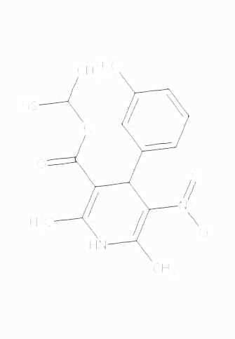 CC1=C(C(=O)OC(C)S)C(c2cccc(C)c2)C([N+](=O)[O-])=C(C)N1